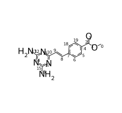 COC(=O)c1ccc(C=Cc2nc(N)nc(N)n2)cc1